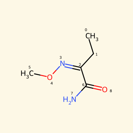 CCC(=NOC)C(N)=O